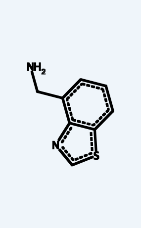 NCc1cccc2scnc12